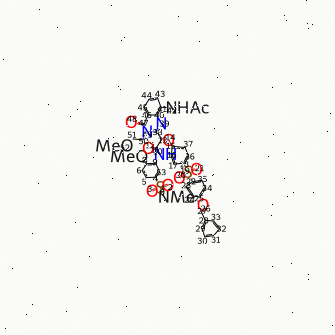 CNS(=O)(=O)c1ccc(OC)c(NC(=O)C(Oc2ccc(S(=O)(=O)c3ccc(OCc4ccccc4)cc3)cc2)c2nc3c(NC(C)=O)cccc3c(=O)n2CCOC)c1